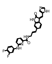 O=C1Nc2cc(C=CCNC(=O)c3cccc(Nc4ccc(F)c(F)c4)n3)ccc2C1=Cc1cnc[nH]1